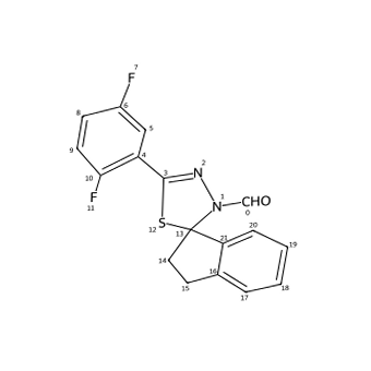 O=CN1N=C(c2cc(F)ccc2F)SC12CCc1ccccc12